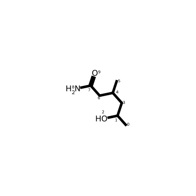 CC(O)CC(C)CC(N)=O